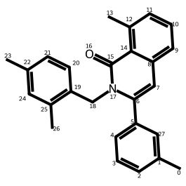 Cc1cccc(-c2cc3cccc(C)c3c(=O)n2Cc2ccc(C)cc2C)c1